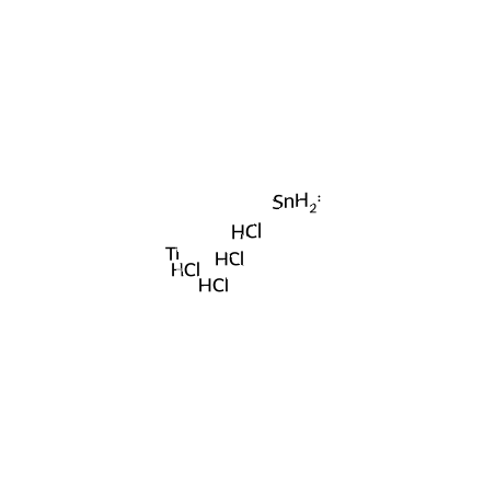 Cl.Cl.Cl.Cl.[SnH2].[Ti]